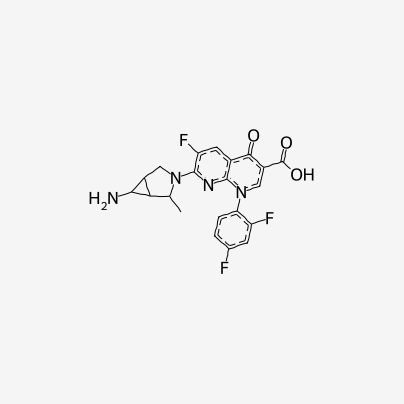 CC1C2C(N)C2CN1c1nc2c(cc1F)c(=O)c(C(=O)O)cn2-c1ccc(F)cc1F